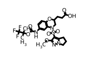 COc1nn2c(c1S(=O)(=O)N1CC(CCC(=O)O)Oc3ccc(NC(=O)OC(C)(C)C(F)(F)F)cc31)CCC2